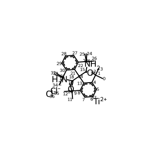 CC(C)(C)c1cccc(C(C)(C)C)c1C(C(N)=O)(C(N)=O)c1c(C(C)(C)C)cccc1C(C)(C)C.[Cl-].[Cl-].[Ti+2]